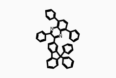 c1ccc(-c2nc3c(-c4ccccc4)ccc(-c4ccccc4)c3nc2-c2ccc3c(c2)C(c2ccccc2)(c2ccccc2)c2ccccc2-3)cc1